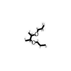 CCCOC(C)C(C)OCCC